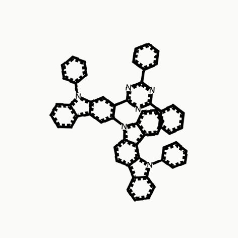 c1ccc(-c2nc(-c3ccccc3)nc(-c3cc4c(cc3-n3c5ccccc5c5c3ccc3c6ccccc6n(-c6ccccc6)c35)c3ccccc3n4-c3ccccc3)n2)cc1